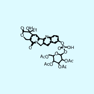 CCC1(O)C(=O)OCc2c1cc1n(c2=O)Cc2cc3cc(OP(=O)(O)OC4OC(COC(C)=O)C(OC(C)=O)C(OC(C)=O)C4OC(C)=O)ccc3nc2-1